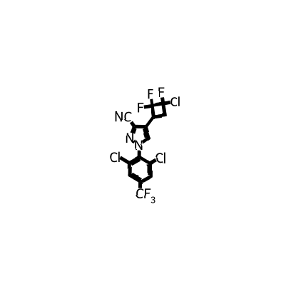 N#Cc1nn(-c2c(Cl)cc(C(F)(F)F)cc2Cl)cc1C1CC(F)(Cl)C1(F)F